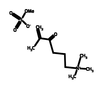 C=C(C)C(=O)CCC[N+](C)(C)C.COS(=O)(=O)[O-]